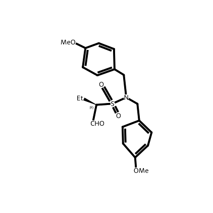 CC[C@H](C=O)S(=O)(=O)N(Cc1ccc(OC)cc1)Cc1ccc(OC)cc1